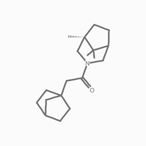 CC1(C)C2CC[C@]1(C)CN(C(=O)CC13CCC(CC1)C3)C2